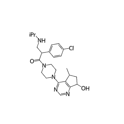 CC(C)NCC(C(=O)N1CCN(c2ncnc3c2C(C)CC3O)CC1)c1ccc(Cl)cc1